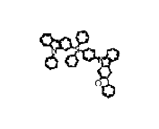 C1=C2Oc3ccccc3C2Cc2c1n(-c1ccc([Si](c3ccccc3)(c3ccccc3)c3ccc4c5ccccc5n(-c5ccccc5)c4c3)cc1)c1ccccc21